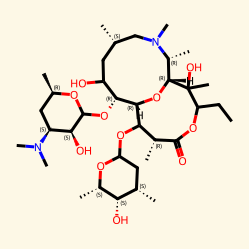 CCC1OC(=O)[C@H](C)C(OC2C[C@H](C)[C@H](O)[C@H](C)O2)[C@H]2O[C@H]([C@@H](C)N(C)C[C@@H](C)CC(O)[C@H]2OC2O[C@H](C)C[C@H](N(C)C)[C@@H]2O)C1(C)O